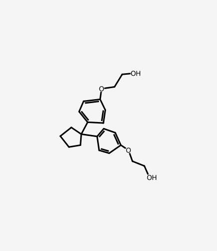 OCCOc1ccc(C2(c3ccc(OCCO)cc3)CCCC2)cc1